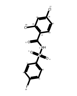 O=C(NS(=O)(=O)c1ccc(F)cc1)c1ccc(Cl)cc1Cl